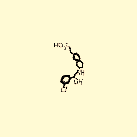 O=C(O)CCc1ccc2c(c1)CC(NCC(O)c1cccc(Cl)c1)CC2